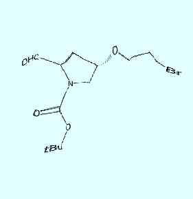 CC(C)(C)OC(=O)N1C[C@@H](OCCBr)CC1C=O